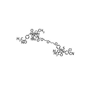 Cc1ncoc1-c1ccc(CNC(=O)[C@@H]2C[C@@H](C)CN2C(=O)[C@@H](NC(=O)COCCCOCCCCOc2ccc(N3C(=S)N(c4ccc(C#N)c(Cl)c4)C(=O)C3(C)C)cc2)C(C)(C)C)cc1